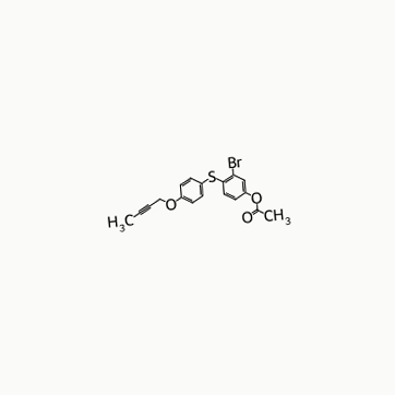 CC#CCOc1ccc(Sc2ccc(OC(C)=O)cc2Br)cc1